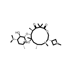 CO[C@]1(C)C[C@@H](C)CN(C)[C@@H](C2CN(C)C2)COC(=O)C(C)(C)C(=O)[C@H](C)[C@H]1O[C@@H]1O[C@H](C)C[C@H](N(C)C)[C@H]1O